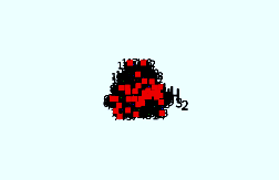 C=C/C=C\c1sc2c(c1C)N(c1ccccc1)c1cc(N(c3ccccc3)c3ccccc3)cc3c1B2c1cc2c(cc1N3c1c(F)cccc1F)N(c1c(F)cccc1F)c1cc(N(c3ccccc3)c3ccccc3)cc3c1B2c1cc2c(cc1N3c1c(F)cccc1F)N(c1c(F)cccc1F)c1cc(N(c3ccccc3)c3ccccc3)cc3c1B2c1sc2ccccc2c1N3c1ccccc1